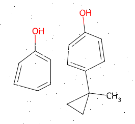 CC1(c2ccc(O)cc2)CC1.Oc1ccccc1